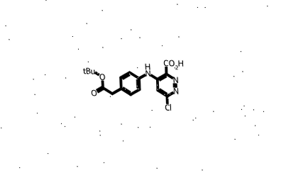 CC(C)(C)OC(=O)Cc1ccc(Nc2cc(Cl)nnc2C(=O)O)cc1